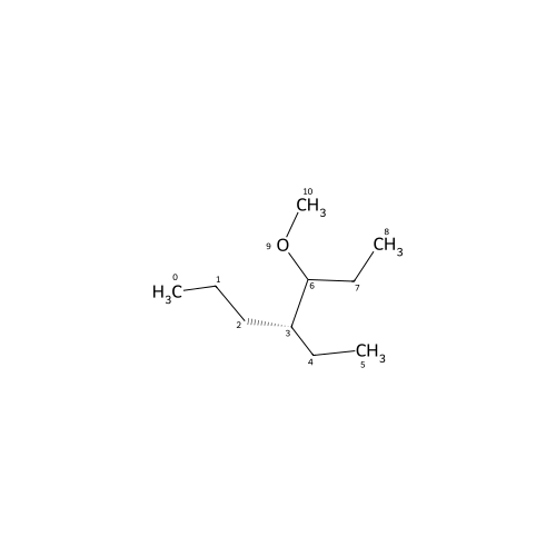 CCC[C@@H](CC)C(CC)OC